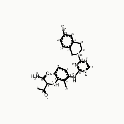 CC(=O)C(Nc1cccc(Nc2ncnc(N3CCc4cc(Br)ccc4C3)n2)c1C)C(N)=O